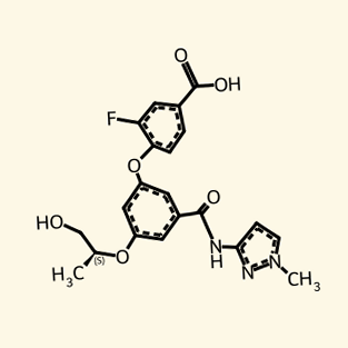 C[C@@H](CO)Oc1cc(Oc2ccc(C(=O)O)cc2F)cc(C(=O)Nc2ccn(C)n2)c1